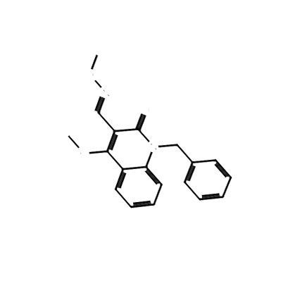 CO/N=C/c1c(OC)c2ccccc2n(Cc2ccccc2)c1=O